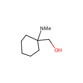 [CH2]NC1(CO)CCCCC1